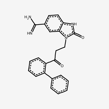 N=C(N)c1ccc2[nH]c(=O)n(CCC(=O)c3ccccc3-c3ccccc3)c2c1